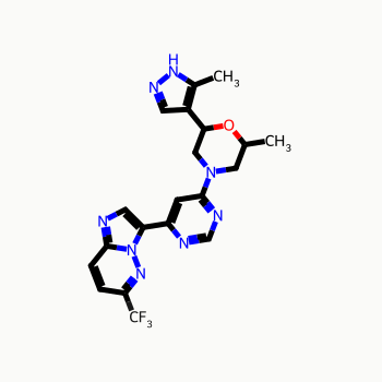 Cc1[nH]ncc1C1CN(c2cc(-c3cnc4ccc(C(F)(F)F)nn34)ncn2)CC(C)O1